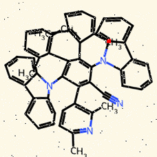 Cc1ccc(-c2c(C#N)c(-n3c4ccccc4c4ccccc43)c(-c3c(C)cccc3C)c(-c3c(C)cccc3C)c2-n2c3ccccc3c3ccccc32)c(C)n1